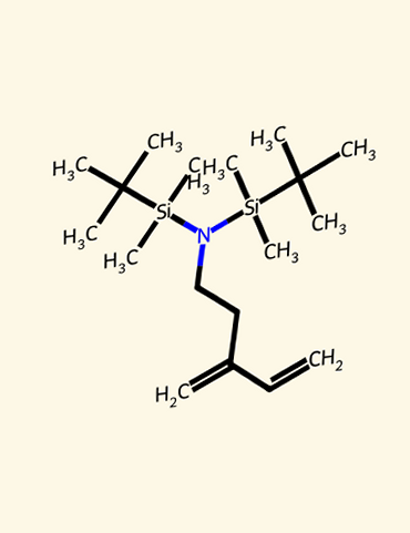 C=CC(=C)CCN([Si](C)(C)C(C)(C)C)[Si](C)(C)C(C)(C)C